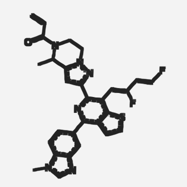 C=CC(=O)N1CCn2nc(-c3nc(-c4ccc5c(c4)ncn5C)c4ccsc4c3/C=C(F)/C=C/F)cc2C1C